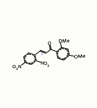 COc1ccc(C(=O)/C=C/c2ccc([N+](=O)[O-])cc2[N+](=O)[O-])c(OC)c1